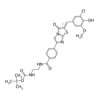 COc1cc(/C=c2\sc3nc(-c4ccc(C(=O)NCCNC(=O)OC(C)(C)C)cc4)cn3c2=O)cc(Cl)c1O